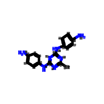 CCc1nc(Nc2ccc(N)cc2)nc(Nc2ccc(N)cc2)n1